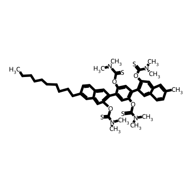 CCCCCCCCCCc1ccc2cc(-c3cc(OC(=S)N(C)C)c(-c4cc5ccc(C)cc5cc4OC(=S)N(C)C)cc3OC(=S)N(C)C)c(OC(=S)N(C)C)cc2c1